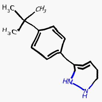 CC(C)(C)c1ccc(C2=CCNN2)cc1